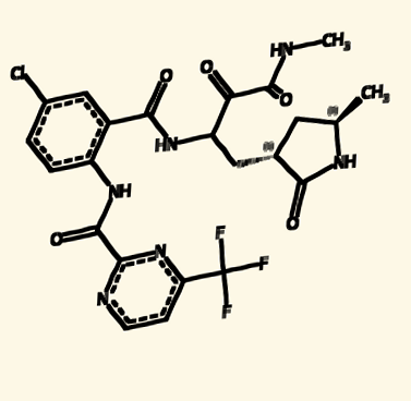 CNC(=O)C(=O)C(C[C@@H]1C[C@@H](C)NC1=O)NC(=O)c1cc(Cl)ccc1NC(=O)c1nccc(C(F)(F)F)n1